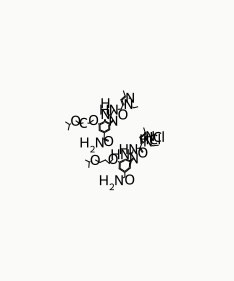 CCn1nc(C)cc1C(=O)Nc1nc2cc(C(N)=O)cc(OCCCOC(C)C)c2[nH]1.CCn1nc(C)cc1C(=O)Nc1nc2cc(C(N)=O)cc(OCCCOC(C)C)c2[nH]1.Cl.Cl